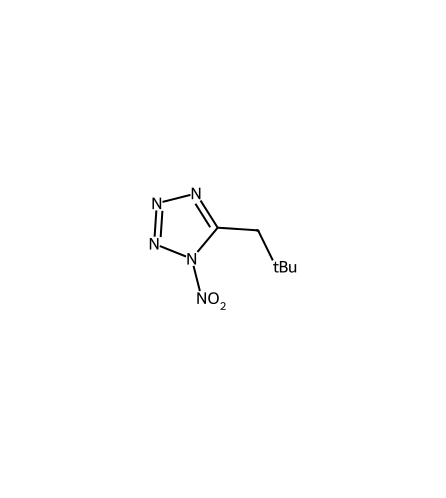 CC(C)(C)Cc1nnnn1[N+](=O)[O-]